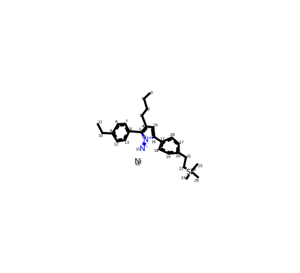 CCCCC1=C(c2ccc(CC)cc2)[N+](=[N-])C(c2ccc(CC[Si](C)(C)C)cc2)=C1.[Ni]